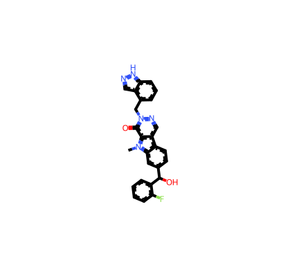 Cn1c2cc(C(O)c3ccccc3F)ccc2c2cnn(Cc3cccc4[nH]ncc34)c(=O)c21